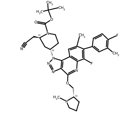 Cc1cc(-c2c(C)cc3c(nc(OC[C@@H]4CCCN4C)c4nnn([C@H]5CCN(C(=O)OC(C)(C)C)[C@H](CC#N)C5)c43)c2F)ccc1F